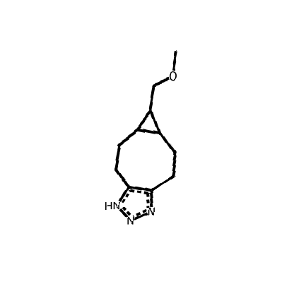 COCC1C2CCc3nn[nH]c3CCC21